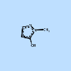 Cn1n[c]cc1O